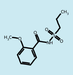 CCCS(=O)(=O)NC(=O)c1ccccc1OC